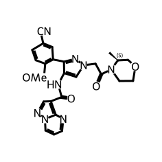 COc1ccc(C#N)cc1-c1nn(CC(=O)N2CCOC[C@@H]2C)cc1NC(=O)c1cnn2cccnc12